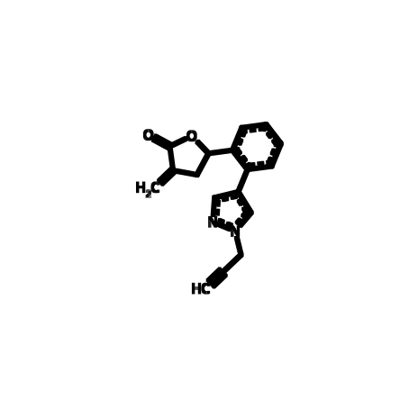 C#CCn1cc(-c2ccccc2C2CC(=C)C(=O)O2)cn1